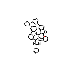 c1ccc(-c2cccc(-c3ccc4oc5cccc(-n6c7ccccc7c7cccc(-c8nc(-c9ccccc9)nc(-c9ccccc9)n8)c76)c5c4c3)c2)cc1